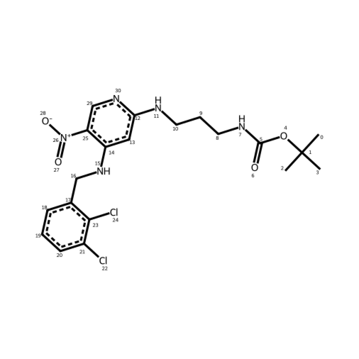 CC(C)(C)OC(=O)NCCCNc1cc(NCc2cccc(Cl)c2Cl)c([N+](=O)[O-])cn1